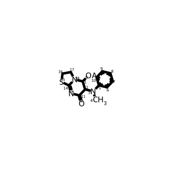 CC(=O)OC1C(N(C)c2ccccc2)C(=O)N=C2SCCN21